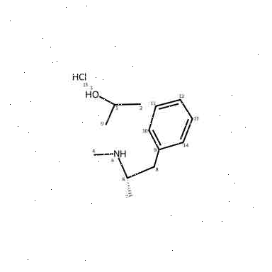 CC(C)O.CN[C@@H](C)Cc1ccccc1.Cl